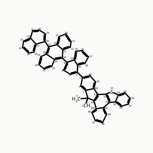 CC1(C)c2cc(-c3ccc(-c4c5ccccc5c(-c5cccc6ccccc56)c5ccccc45)c4ccccc34)ccc2-c2c1c1ccccc1c1c2sc2ccccc21